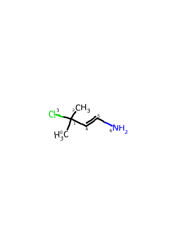 CC(C)(Cl)C=CN